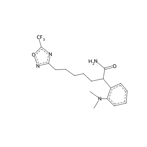 CN(C)c1ccccc1C(CCCCCc1noc(C(F)(F)F)n1)C(N)=O